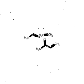 C=C.C=CC(N)=O.NC=O